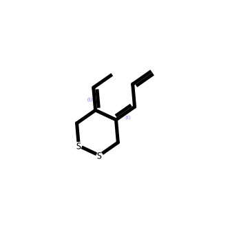 C=C/C=C1/CSSC/C1=C/C